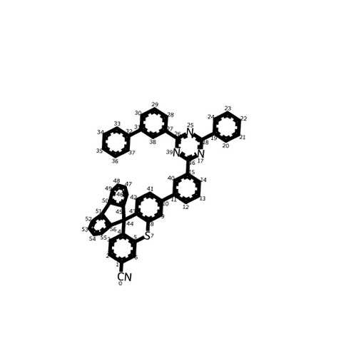 N#Cc1ccc2c(c1)Sc1cc(-c3cccc(-c4nc(-c5ccccc5)nc(-c5cccc(-c6ccccc6)c5)n4)c3)ccc1C21c2ccccc2-c2ccccc21